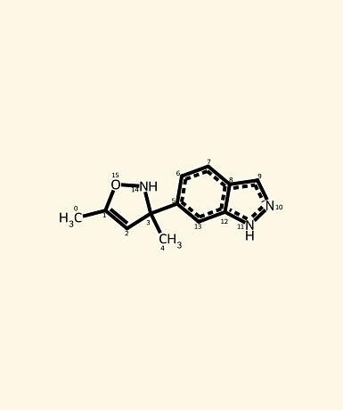 CC1=CC(C)(c2ccc3cn[nH]c3c2)NO1